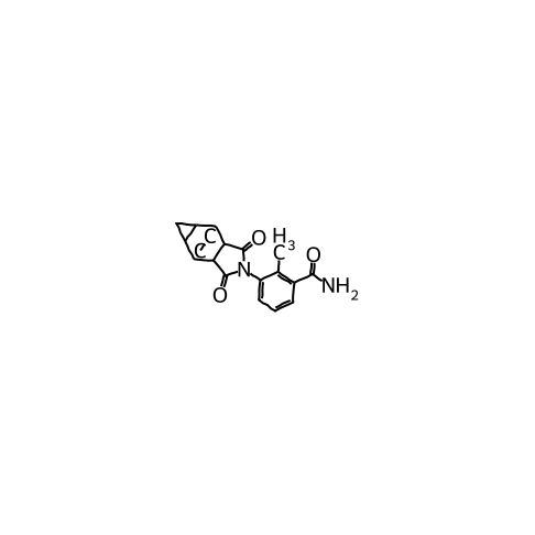 Cc1c(C(N)=O)cccc1N1C(=O)C2C3CCC(C4CC43)C2C1=O